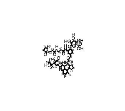 CC[C@@]1(O)C(=O)OCc2c1cc1n(c2=O)Cc2c-1nc1cc(F)c(C)c(C3=CCCC3)c1c2CNC(=O)OCc1ccc(O[C@@H]2O[C@H](C(=O)O)[C@@H](O)[C@H](O)[C@H]2O)c(NC(=O)CCNC(=O)CCN2C(=O)C=CC2=O)c1